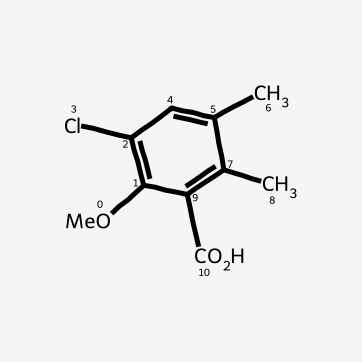 COc1c(Cl)cc(C)c(C)c1C(=O)O